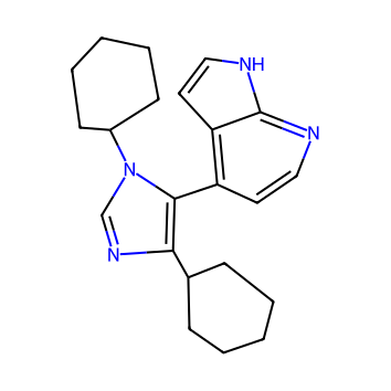 c1cc(-c2c(C3CCCCC3)ncn2C2CCCCC2)c2cc[nH]c2n1